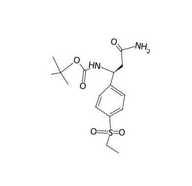 CCS(=O)(=O)c1ccc([C@H](CC(N)=O)NC(=O)OC(C)(C)C)cc1